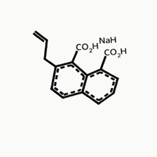 C=CCc1ccc2cccc(C(=O)O)c2c1C(=O)O.[NaH]